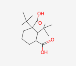 CC(C)(C)C1C(C(=O)O)CCCC1(C(=O)O)C(C)(C)C